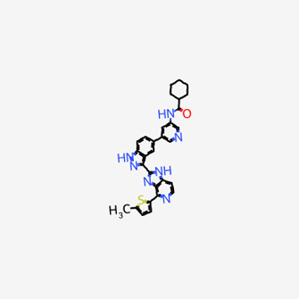 Cc1ccc(-c2nccc3[nH]c(-c4n[nH]c5ccc(-c6cncc(NC(=O)C7CCCCC7)c6)cc45)nc23)s1